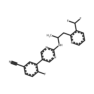 CC(Cc1ncccc1C(F)F)Nc1ncc(-c2cc(C#N)ccc2F)cn1